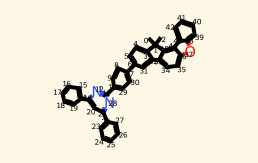 CC1(C)c2ccc(-c3ccc(-c4nc(-c5ccccc5)cc(-c5ccccc5)n4)cc3)cc2-c2ccc3oc4ccccc4c3c21